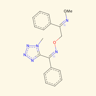 CO/N=C(/CO/N=C(/c1ccccc1)c1nnnn1C)c1ccccc1